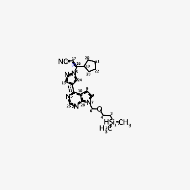 C[SiH](C)CCOCn1ccc2c(-c3cnn(/C(=C\C#N)C4CCCC4)c3)ncnc21